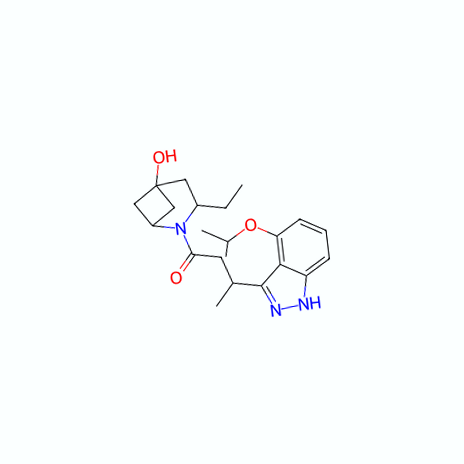 CCC1CC2(O)CC(C2)N1C(=O)CC(C)c1n[nH]c2cccc(OC(C)C)c12